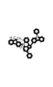 CC1C=CC(c2ccc3c(c2)c2ccccc2n3-c2ccccc2)=C2c3ccccc3N(c3ccc4c(c3)C(C)(C)c3ccccc3-4)C3(C)C=CC(c4ccccc4)=CC213